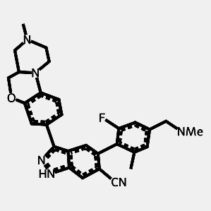 CNCc1cc(C)c(-c2cc3c(-c4ccc5c(c4)OCC4CN(C)CCN54)n[nH]c3cc2C#N)c(F)c1